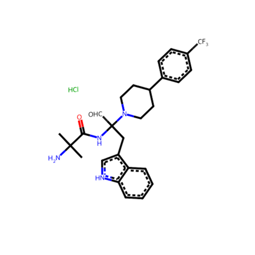 CC(C)(N)C(=O)NC(C=O)(Cc1c[nH]c2ccccc12)N1CCC(c2ccc(C(F)(F)F)cc2)CC1.Cl